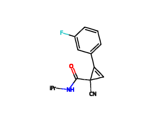 CC(C)NC(=O)C1(C#N)C=C1c1cccc(F)c1